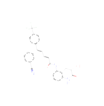 N#Cc1cccc(/C(=C\C=C\C(=O)Nc2cccc3c2CC(O)C(=O)N3)c2ccc(C(F)(F)F)cc2)c1